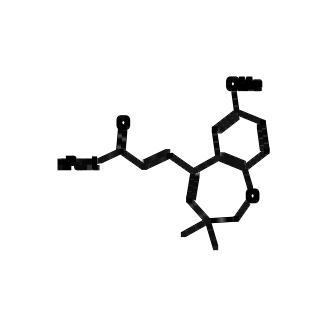 CCCCCC(=O)C=CC1=CC(C)(C)COc2ccc(OC)cc21